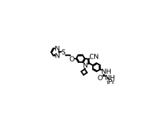 CC(C)NC(=O)Nc1ccc(-c2c(C#N)c3ccc(OCCSc4ncccn4)cc3n2C2CCC2)cc1